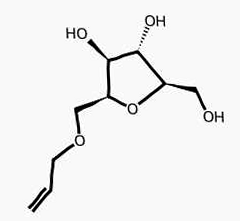 C=CCOC[C@@H]1O[C@H](CO)[C@@H](O)[C@@H]1O